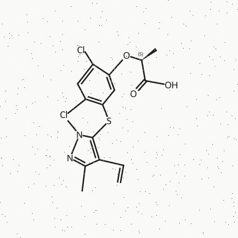 C=Cc1c(C)nn(C)c1Sc1cc(O[C@@H](C)C(=O)O)c(Cl)cc1Cl